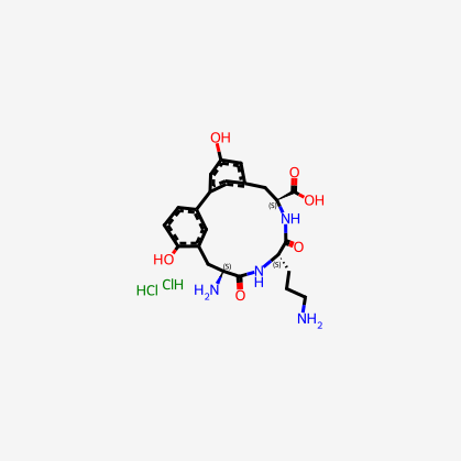 Cl.Cl.NCCC[C@@H]1NC(=O)[C@@H](N)Cc2cc(ccc2O)-c2cc(O)cc(c2)C[C@@H](C(=O)O)NC1=O